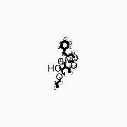 C=CCOC[C@@H](O)C(C=C)C(=O)N1C(=O)OCC1Cc1ccccc1